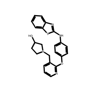 OC1CCN(Cc2cccnc2Oc2ccc(Nc3nc4ccccc4s3)cc2)C1